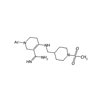 CC(=O)N1CCC(NCC2CCN(S(C)(=O)=O)CC2)=C(C(=N)N)C1